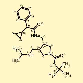 CC(C)NC[C@@H]1CN(C(=O)OC(C)(C)C)C[C@H]1CNC(=O)C(c1ccccc1)C1CC1